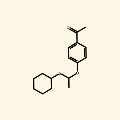 CC(=O)c1ccc(OC(C)SC2CCCCC2)cc1